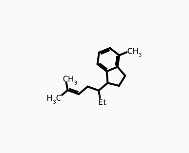 CCC(CC=C(C)C)C1CCc2c(C)cccc21